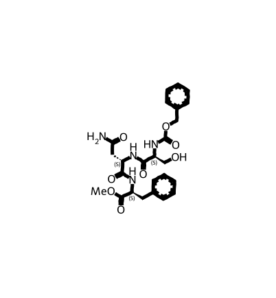 COC(=O)[C@H](Cc1ccccc1)NC(=O)[C@H](CC(N)=O)NC(=O)[C@H](CO)NC(=O)OCc1ccccc1